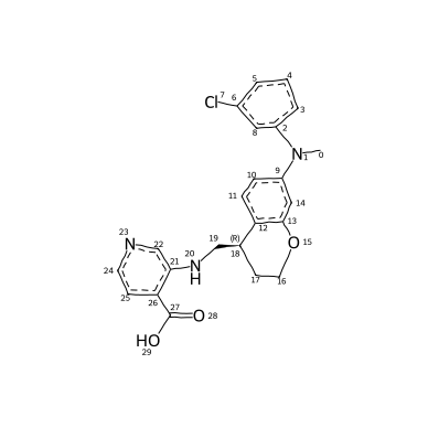 CN(c1cccc(Cl)c1)c1ccc2c(c1)OCC[C@H]2CNc1cnccc1C(=O)O